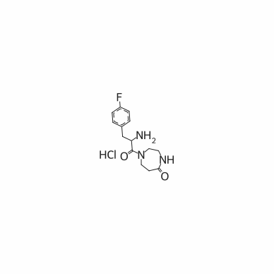 Cl.NC(Cc1ccc(F)cc1)C(=O)N1CCNC(=O)CC1